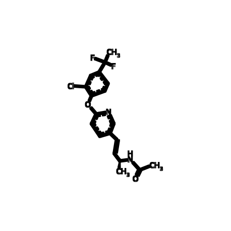 CC(=O)N[C@@H](C)/C=C/c1ccc(Oc2ccc(C(C)(F)F)cc2Cl)nc1